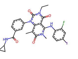 CCn1c(=O)c2c(Nc3ccc(I)cc3F)n(C)c(=O)c(C)c2n(-c2cccc(C(=O)NC3CC3)c2)c1=O